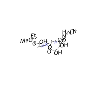 CCC(OC)C(C)C1OC1C(O)C(C)/C=C/C=C(\C)C1OC(=O)CC(O)CCC(C)(O)C(OC(=O)NCCN2CCN(C)CC2)/C=C/C1C